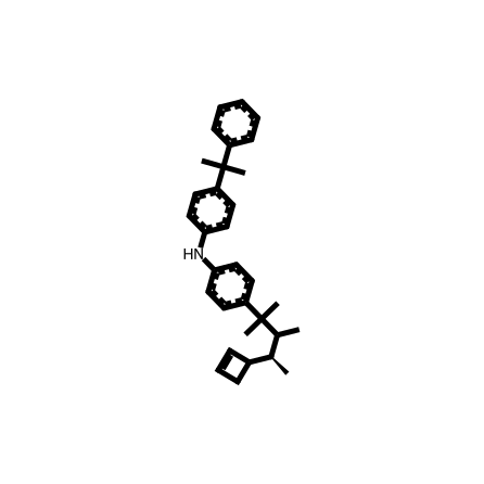 CC([C@@H](C)C1C=CC1)C(C)(C)c1ccc(Nc2ccc(C(C)(C)c3ccccc3)cc2)cc1